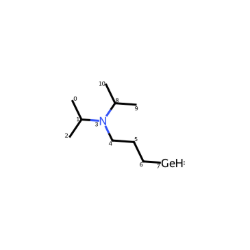 CC(C)N(CC[CH2][GeH])C(C)C